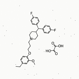 CCc1ccc(OCCCN2CCC(C(c3ccc(F)cc3)c3ccc(F)cc3)CC2)c(OC)c1.O=C(O)C(=O)O